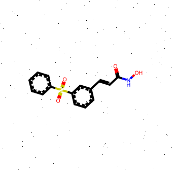 O=C(C=Cc1cccc(S(=O)(=O)c2ccccc2)c1)NO